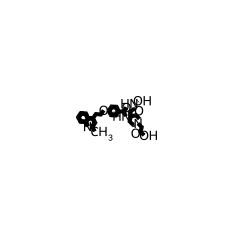 Cc1cc(CCOc2ccc(C(=O)NC3(CC(=O)NO)CCN(CC(=O)O)CC3)cc2)c2ccccc2n1